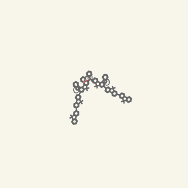 CC1(C)c2ccccc2-c2ccc(-c3ccc4c(c3)C(C)(C)c3cc(-c5cc6c(c7c5oc5ccccc57)-c5ccc(N(c7ccc8c(c7)C(C)(C)c7cc(-c9ccc%10c(c9)C(C)(C)c9cc(-c%11ccc%12c(c%11)C(C)(C)c%11ccccc%11-%12)ccc9-%10)c9oc%10ccccc%10c9c7-8)c7ccccc7-c7ccccc7)cc5C6(C)C)ccc3-4)cc21